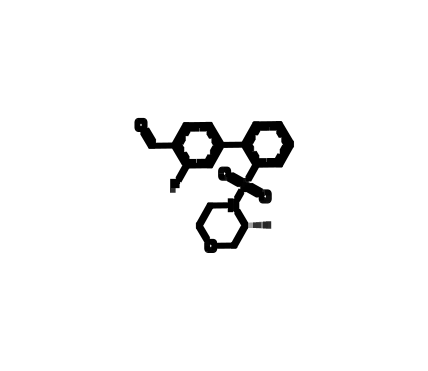 C[C@@H]1COCCN1S(=O)(=O)c1ccccc1-c1ccc(C=O)c(F)c1